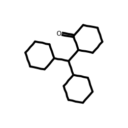 O=C1CCCCC1C(C1CCCCC1)C1CCCCC1